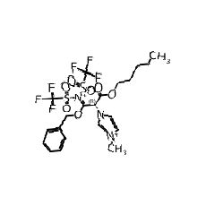 CCCCCOC(=O)[C@@H](C(OCc1ccccc1)=[N+](S(=O)(=O)C(F)(F)F)S(=O)(=O)C(F)(F)F)n1cc[n+](C)c1